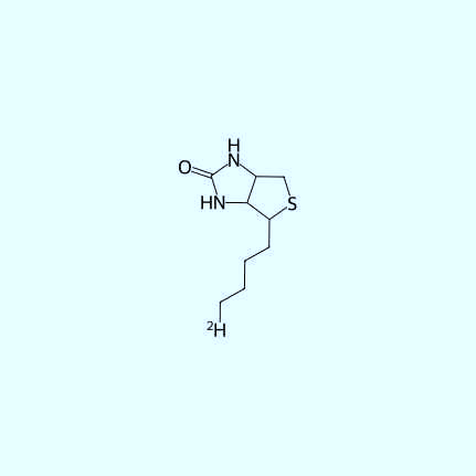 [2H]CCCCC1SCC2NC(=O)NC21